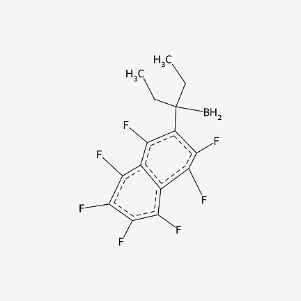 BC(CC)(CC)c1c(F)c(F)c2c(F)c(F)c(F)c(F)c2c1F